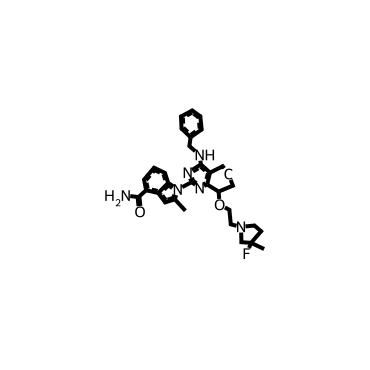 Cc1cc2c(C(N)=O)cccc2n1-c1nc(NCc2ccccc2)c2c(n1)C(OCCN1CCC(C)(F)C1)CCC2